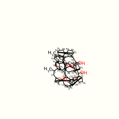 CC1CCCC2(C3CC4=C5CC(=C3CCC4)C5C1)C(O)C13CC4=C5CCC(=C1C4)C5(CCCC3C)C(O)C13C4=C5CCC(=C1CC4)CC2(C5)C1CCCC3C(O)C2CCCC(C1C13CC(C)CCCC4(O)C/C5=C/1C/C3=C(/CCC5)C4)C1(C)CC3=C4CCC(=C1CC3)C42